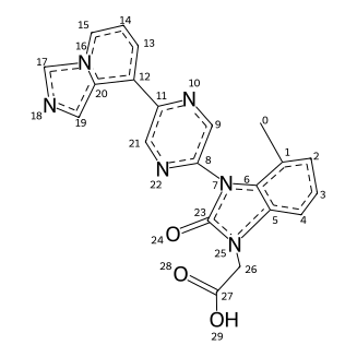 Cc1cccc2c1n(-c1cnc(-c3cccn4cncc34)cn1)c(=O)n2CC(=O)O